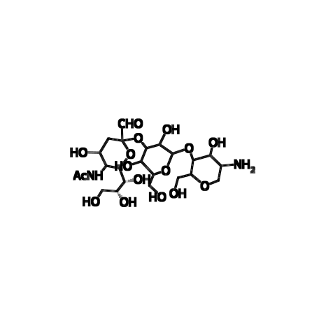 CC(=O)NC1C(O)CC(C=O)(OC2C(O)C(CO)OC(OC3C(CO)OCC(N)C3O)C2O)OC1[C@H](O)[C@H](O)CO